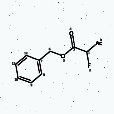 CC(=O)C(F)C(=O)OCc1ccccc1